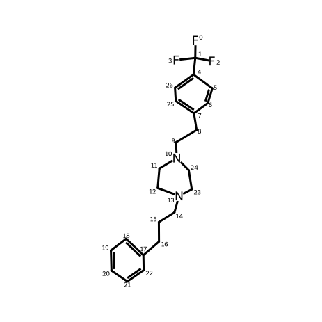 FC(F)(F)c1ccc(CCN2CCN(CCCc3ccccc3)CC2)cc1